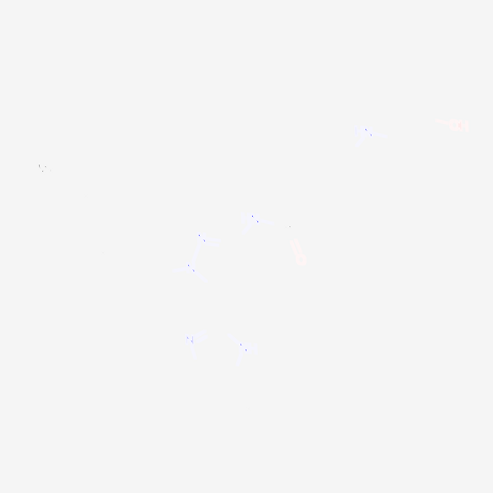 COc1ccc(Cn2nc(NC(=O)c3ccc(NCCO)c(Cl)c3)cc2-c2nc3ccccc3[nH]2)cc1